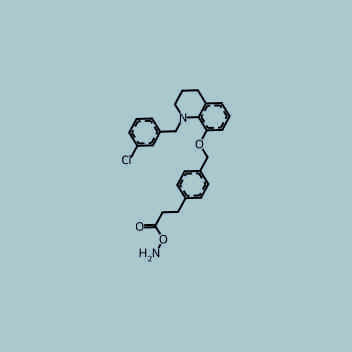 NOC(=O)CCc1ccc(COc2cccc3c2N(Cc2cccc(Cl)c2)CCC3)cc1